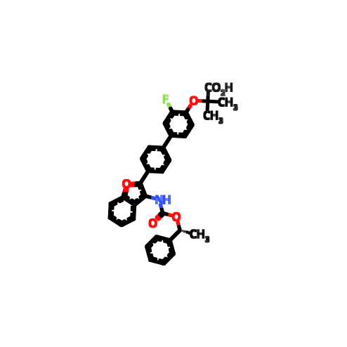 C[C@@H](OC(=O)Nc1c(-c2ccc(-c3ccc(OC(C)(C)C(=O)O)c(F)c3)cc2)oc2ccccc12)c1ccccc1